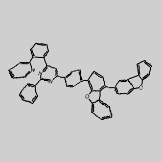 c1ccc(-c2nc(-c3ccc(-c4ccc(-c5ccc6oc7ccccc7c6c5)c5c4oc4ccccc45)cc3)cc(-c3ccccc3-c3ccccn3)n2)cc1